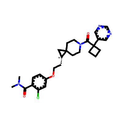 CN(C)C(=O)c1ccc(OCC[C@@H]2CC23CCN(C(=O)C2(c4cncnc4)CCC2)CC3)cc1Cl